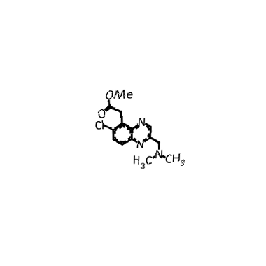 COC(=O)Cc1c(Cl)ccc2nc(CN(C)C)cnc12